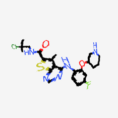 Cc1c(C(=O)NCC(C)(C)Cl)sc2ncnc(Nc3ccc(F)cc3OC3CCCNC3)c12